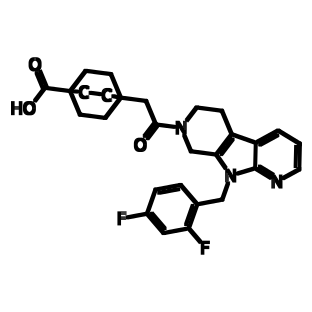 O=C(CC12CCC(C(=O)O)(CC1)CC2)N1CCc2c(n(Cc3ccc(F)cc3F)c3ncccc23)C1